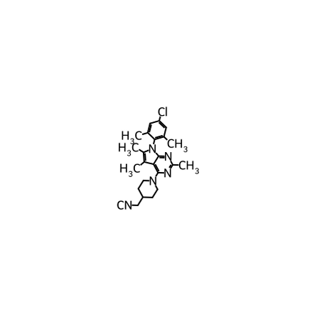 [C-]#[N+]CC1CCN(c2nc(C)nc3c2c(C)c(C)n3-c2c(C)cc(Cl)cc2C)CC1